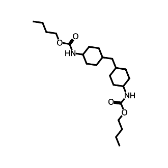 CCCCOC(=O)NC1CCC(CC2CCC(NC(=O)OCCCC)CC2)CC1